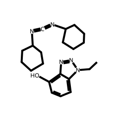 C(=NC1CCCCC1)=NC1CCCCC1.CCn1nnc2c(O)cccc21